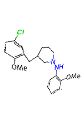 COc1[c]cccc1NN1CCCC(Cc2cc(Cl)ccc2OC)C1